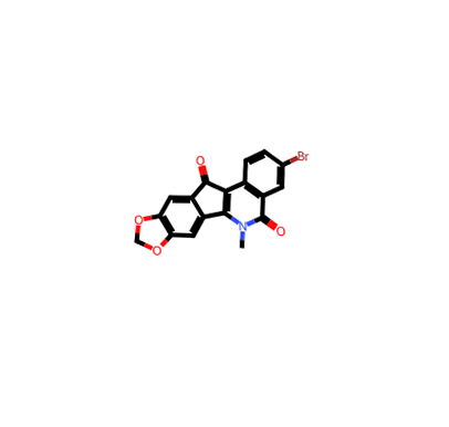 Cn1c2c(c3ccc(Br)cc3c1=O)C(=O)c1cc3c(cc1-2)OCO3